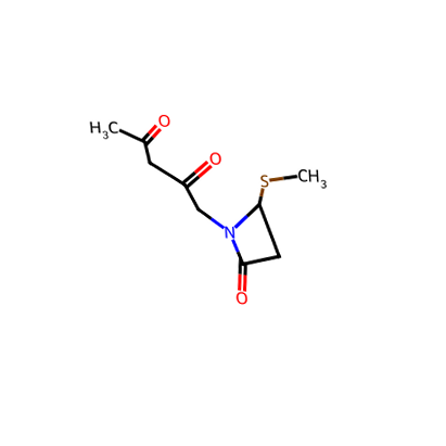 CSC1CC(=O)N1CC(=O)CC(C)=O